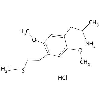 COc1cc(CC(C)N)c(OC)cc1CCSC.Cl